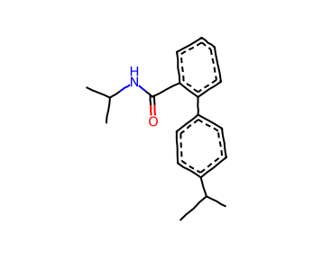 CC(C)NC(=O)c1ccccc1-c1ccc(C(C)C)cc1